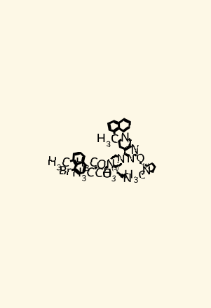 Cc1cccc2cccc(Br)c12.Cc1cccc2cccc(N3CCc4c(nc(OC[C@@H]5CCCN5C)nc4N4CCN(C(=O)OC(C)(C)C)[C@@H](CC#N)C4)C3)c12